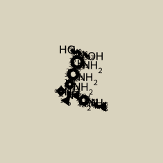 C1CC(NN(C2CC2)C2CC2)C1.NC1CCCC1.NC1CCCCC1.NC1CCCCCC1.NC1CCCCCCC1.NCC1CC1.OCCNCCO